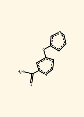 NC(=O)c1cc(Oc2cccnc2)ccn1